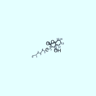 CCCCCCCCc1c(O)c2ccccc2oc1=O